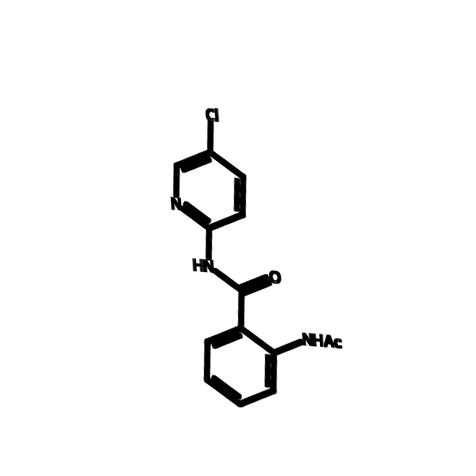 CC(=O)Nc1ccccc1C(=O)Nc1ccc(Cl)cn1